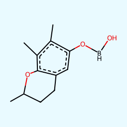 Cc1c(OBO)cc2c(c1C)OC(C)CC2